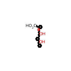 O=C(O)CCc1ccccc1OCC[C@@H](O)/C=C/c1cccc([C@H](O)Cc2ccccc2)c1